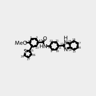 COc1ccc(C(=O)Nc2ccc(-c3nc4ccccc4[nH]3)cc2)cc1-c1cccs1